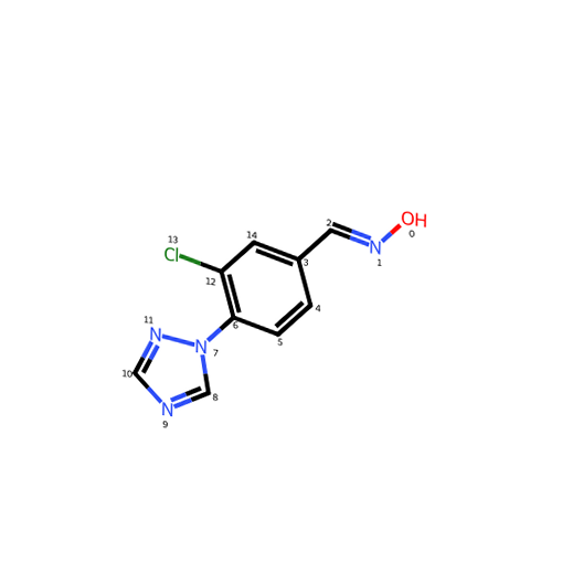 ON=Cc1ccc(-n2cncn2)c(Cl)c1